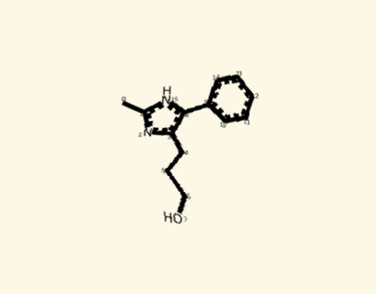 Cc1nc(CCCO)c(-c2ccccc2)[nH]1